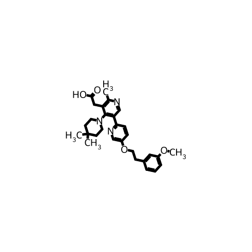 COc1cccc(CCOc2ccc(-c3cnc(C)c(CC(=O)O)c3N3CCC(C)(C)CC3)nc2)c1